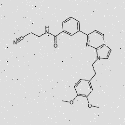 COc1ccc(CCn2ccc3ccc(-c4cccc(C(=O)NCCC#N)c4)nc32)cc1OC